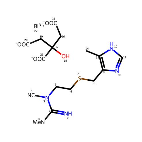 CNC(=N)N(C#N)CCSCc1nc[nH]c1C.O=C([O-])CC(O)(CC(=O)[O-])C(=O)[O-].[Bi+3]